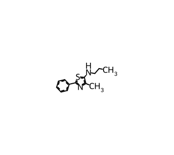 CCCNc1sc(-c2ccccc2)nc1C